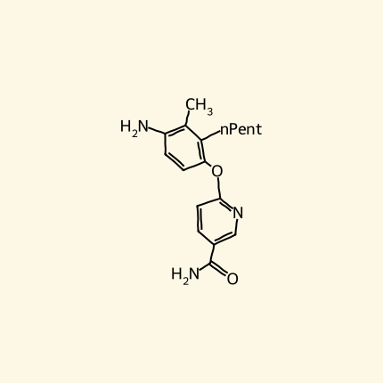 CCCCCc1c(Oc2ccc(C(N)=O)cn2)ccc(N)c1C